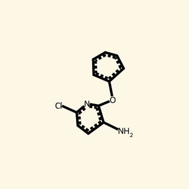 Nc1ccc(Cl)nc1Oc1ccccc1